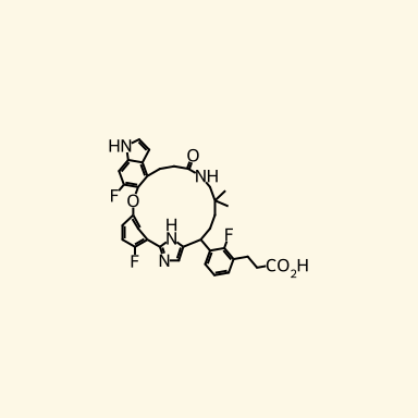 CC1(C)CCC(c2cccc(CCC(=O)O)c2F)c2cnc([nH]2)-c2cc(ccc2F)Oc2c(F)cc3[nH]ccc3c2CCC(=O)NC1